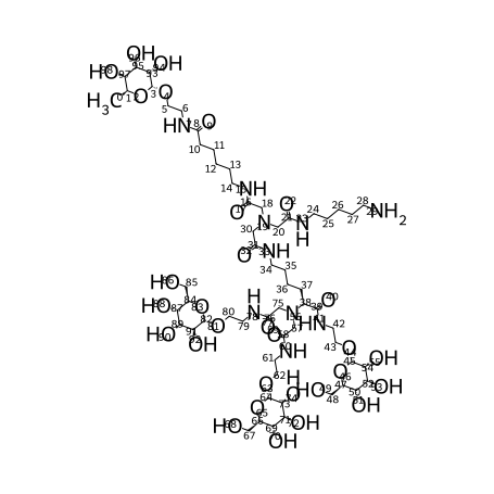 C[C@@H]1O[C@@H](OCCNC(=O)CCCCCNC(=O)CN(CC(=O)NCCCCCN)CC(=O)NCCCC[C@@H](C(=O)NCCO[C@H]2O[C@H](CO)[C@@H](O)[C@H](O)[C@@H]2O)N(CC(=O)NCCO[C@H]2O[C@H](CO)[C@@H](O)[C@H](O)[C@@H]2O)CC(=O)NCCO[C@H]2O[C@H](CO)[C@@H](O)[C@H](O)[C@@H]2O)[C@@H](O)[C@H](O)[C@@H]1O